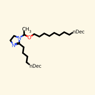 CCCCCCCCCCCCCCCCCCOC(C)N1CCN=C1CCCCCCCCCCCCCC